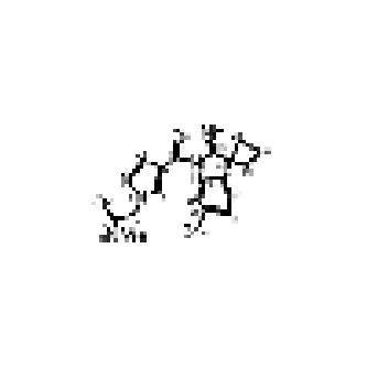 CNC(=O)Cn1cc(C(=O)NC(=N)C2(c3ccc(Br)cc3)CCC2)cn1